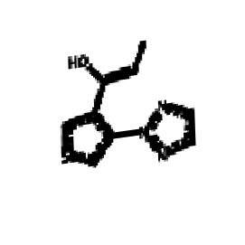 CC=C(O)c1cscc1-n1nccn1